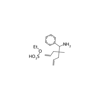 C=CCC(C)(CC=C)C(N)c1ccccc1.CCOS(=O)(=O)O